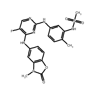 Cc1ccc(Nc2ncc(F)c(Nc3ccc4oc(=O)n(C)c4c3)n2)cc1NS(C)(=O)=O